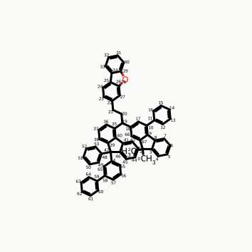 CC1(C)c2ccccc2-c2c(-c3ccccc3)cc(C(CCc3ccc4c(c3)oc3ccccc34)c3cccc4c3-c3ccccc3C4(c3ccccc3)c3cccc(-c4ccccc4)c3)cc21